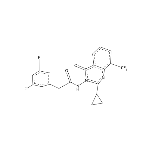 O=C(Cc1cc(F)cc(F)c1)Nn1c(C2CC2)nc2c(C(F)(F)F)cccc2c1=O